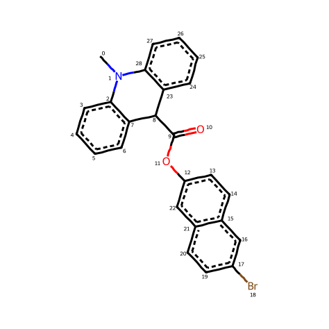 CN1c2ccccc2C(C(=O)Oc2ccc3cc(Br)ccc3c2)c2ccccc21